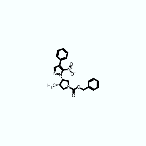 C[C@@H]1CN(C(=O)OCc2ccccc2)C[C@H]1n1ncc(-c2ccccc2)c1[N+](=O)[O-]